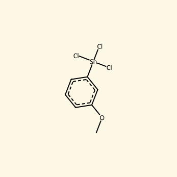 COc1ccc[c]([Sn]([Cl])([Cl])[Cl])c1